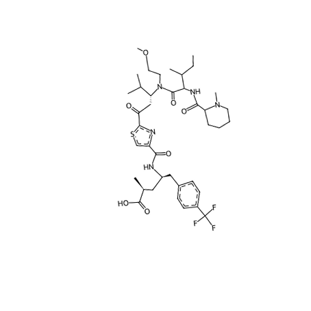 CCC(C)C(NC(=O)C1CCCCN1C)C(=O)N(CCOC)[C@H](CC(=O)c1nc(C(=O)N[C@@H](Cc2ccc(C(F)(F)F)cc2)C[C@H](C)C(=O)O)cs1)C(C)C